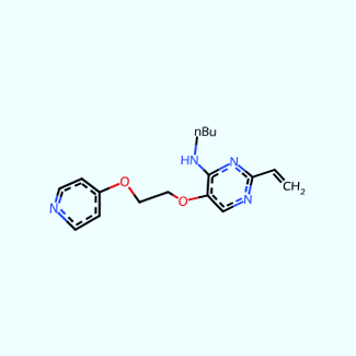 C=Cc1ncc(OCCOc2ccncc2)c(NCCCC)n1